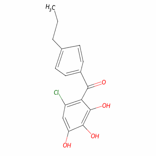 CCCc1ccc(C(=O)c2c(Cl)cc(O)c(O)c2O)cc1